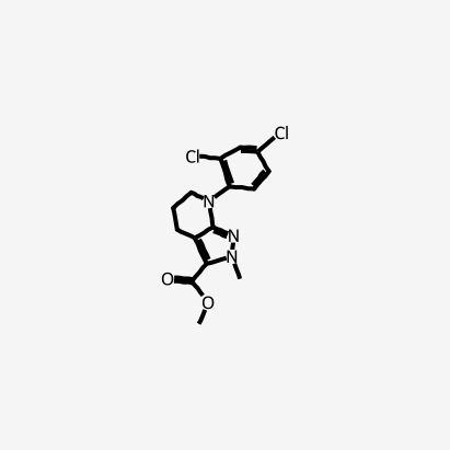 COC(=O)c1c2c(nn1C)N(c1ccc(Cl)cc1Cl)CCC2